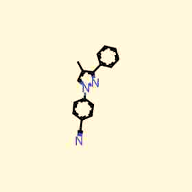 Cc1cn(-c2ccc(C#N)cc2)nc1-c1ccccc1